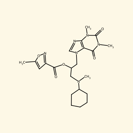 Cc1cc(C(=O)OC(CN(C)C2CCCCC2)Cn2cnc3c2c(=O)n(C)c(=O)n3C)no1